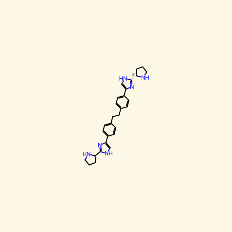 c1cc(-c2c[nH]c(C3CCCN3)n2)ccc1CCc1ccc(-c2c[nH]c([C@@H]3CCCN3)n2)cc1